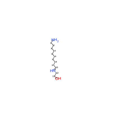 NCCCCCCCCCCNCCO